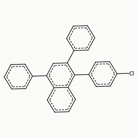 Clc1ccc(-c2c(-c3ccccc3)cc(-c3ccccc3)c3ccccc23)cc1